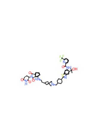 CC(C)(O)c1cc2nc(C3CCC(CN4CC5(CC(CCNc6cccc7c6C(=O)N([C@@H]6CCC(=O)NC6=O)C7=O)C5)C4)CC3)sc2cc1NC(=O)c1cccc(C(F)(F)F)n1